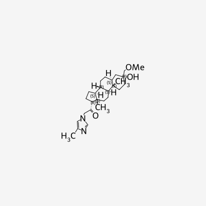 COC[C@@]1(O)CC[C@@]2(C)[C@@H](CC[C@@H]3[C@@H]2CC[C@]2(C)[C@H](C(=O)Cn4cnc(C)c4)CC[C@@H]32)C1